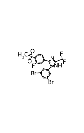 CS(=O)(=O)c1ccc(-c2nc(C(F)F)[nH]c2-c2cc(Br)cc(Br)c2)cc1F